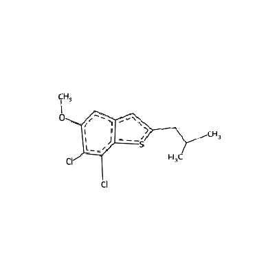 COc1cc2cc(CC(C)C)sc2c(Cl)c1Cl